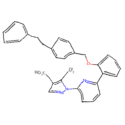 O=C(O)c1cnn(-c2cccc(-c3ccccc3OCc3ccc(CCc4ccccc4)cc3)n2)c1C(F)(F)F